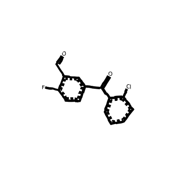 O=Cc1cc(C(=O)c2ccccc2Cl)ccc1F